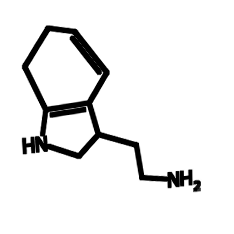 NCCC1CNC2=C1C=CCC2